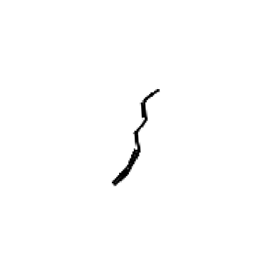 C=C=CCC=CC